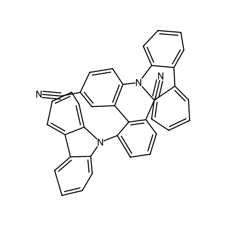 N#Cc1ccc(-n2c3ccccc3c3ccccc32)c(-c2c(C#N)cccc2-n2c3ccccc3c3ccccc32)c1